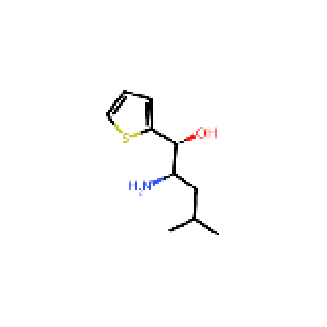 CC(C)C[C@@H](N)[C@H](O)c1cccs1